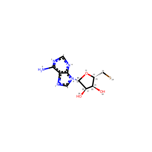 Nc1ncnc2c1ncn2[C@@H]1O[C@H](C[S])[C@@H](O)[C@H]1O